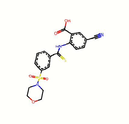 N#Cc1ccc(NC(=S)c2cccc(S(=O)(=O)N3CCOCC3)c2)c(C(=O)O)c1